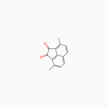 Cc1ccc2ccc(C)c3c2c1C(=O)C3=O